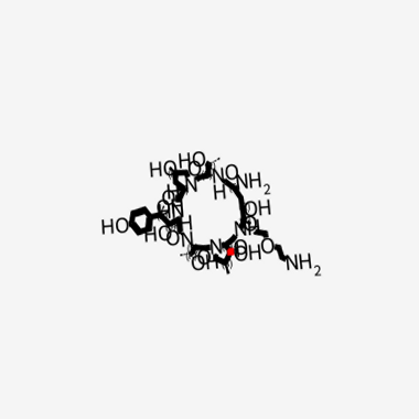 C[C@@H](O)[C@@H]1NC(=O)[C@H]([C@H](O)[C@@H](O)c2ccc(O)cc2)NC(=O)[C@@H]2C[C@@H](O)CN2C(=O)[C@H]([C@@H](C)O)NC(=O)[C@@H](N)C[C@@H](O)[C@@H](OCCOCCN)NC(=O)[C@@H]2[C@@H](O)[C@@H](C)CN2C1=O